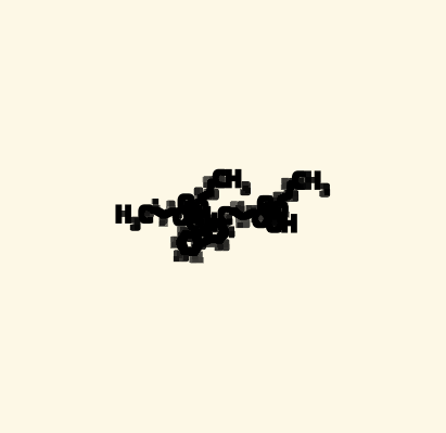 CCCCOP(=O)(O)OCCCC.CCCCOP(=O)(O)OCCCC.c1ccc2c(c1)-c1ccccc1-2